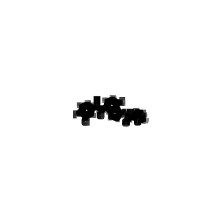 O=C(N[C@H]1CCc2c(C(=O)Nc3ccc(F)c(Cl)c3)ccc(F)c21)c1cnco1